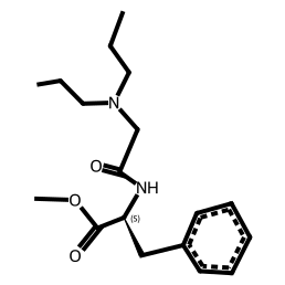 CCCN(CCC)CC(=O)N[C@@H](Cc1ccccc1)C(=O)OC